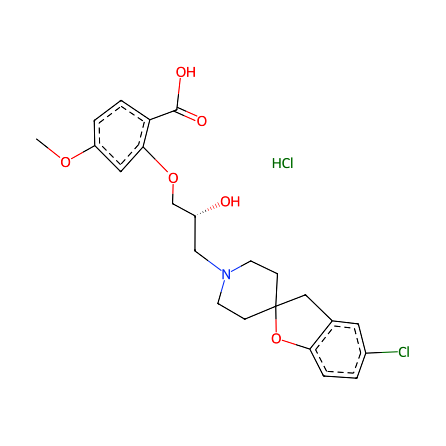 COc1ccc(C(=O)O)c(OC[C@H](O)CN2CCC3(CC2)Cc2cc(Cl)ccc2O3)c1.Cl